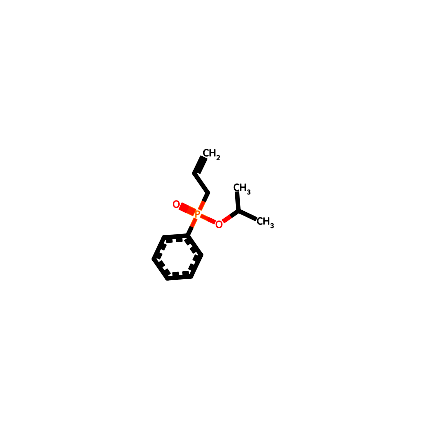 C=CCP(=O)(OC(C)C)c1ccccc1